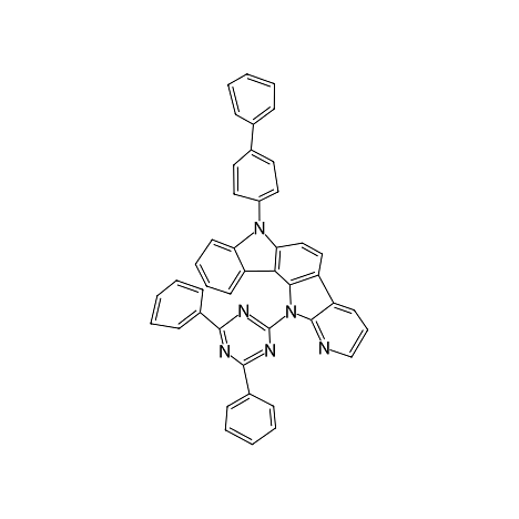 c1ccc(-c2ccc(-n3c4ccccc4c4c3ccc3c5cccnc5n(-c5nc(-c6ccccc6)nc(-c6ccccc6)n5)c34)cc2)cc1